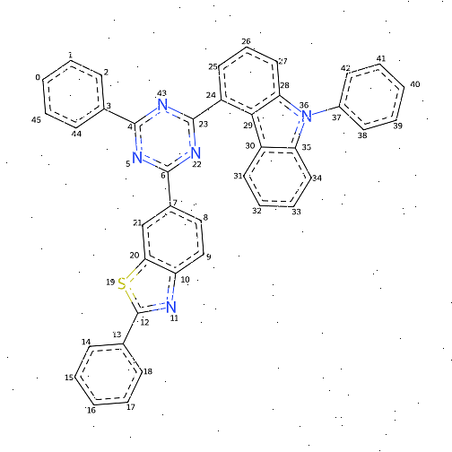 c1ccc(-c2nc(-c3ccc4nc(-c5ccccc5)sc4c3)nc(-c3cccc4c3c3ccccc3n4-c3ccccc3)n2)cc1